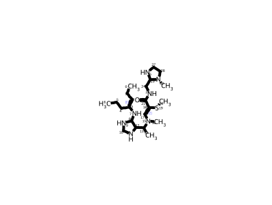 CC/C=C(\CCC)NC1NCNC1C(C)N(C)/C=C(\SC)C(=O)NCC1NCCN1C